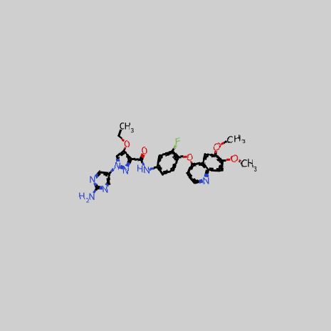 CCOc1cn(-c2cnc(N)nc2)nc1C(=O)Nc1ccc(Oc2ccnc3cc(OC)c(OC)cc23)c(F)c1